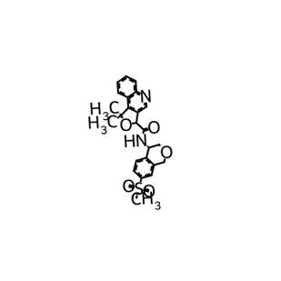 CC1(C)OC(C(=O)N[C@@H]2COCc3cc(S(C)(=O)=O)ccc32)c2cnc3ccccc3c21